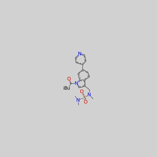 CCC(C)C(=O)n1cc(CN(C)S(=O)(=O)N(C)C)c2ccc(-c3ccncc3)cc21